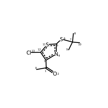 CC(=O)c1nc(SC(C)(C)C)sc1Cl